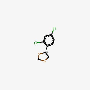 Clc1ccc([C@@H]2CS[C]S2)c(Cl)c1